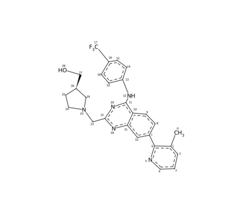 Cc1cccnc1-c1ccc2c(Nc3ccc(C(F)(F)F)cc3)nc(CN3CC[C@@H](CO)C3)nc2c1